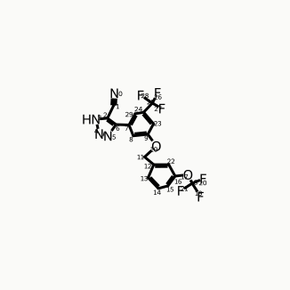 N#Cc1[nH]nnc1-c1cc(OCc2cccc(OC(F)(F)F)c2)cc(C(F)(F)F)c1